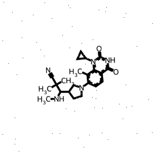 CNC(C1CCN(c2ccc3c(=O)[nH]c(=O)n(C4CC4)c3c2C)C1)C(C)(C)C#N